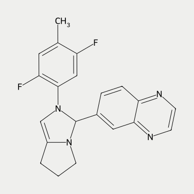 Cc1cc(F)c(N2C=C3CCCN3C2c2ccc3nccnc3c2)cc1F